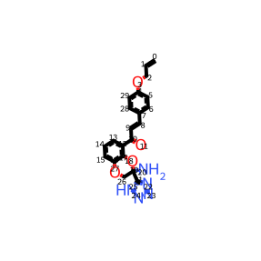 C=CCOc1ccc(C=CC(=O)c2cccc3c2OC(N)(c2nnn[nH]2)CO3)cc1